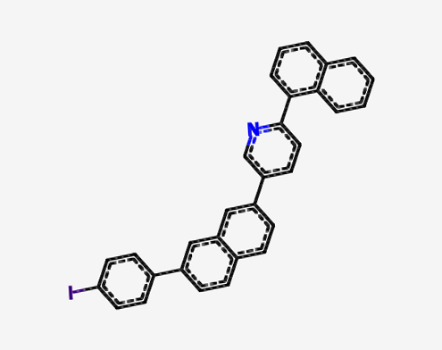 Ic1ccc(-c2ccc3ccc(-c4ccc(-c5cccc6ccccc56)nc4)cc3c2)cc1